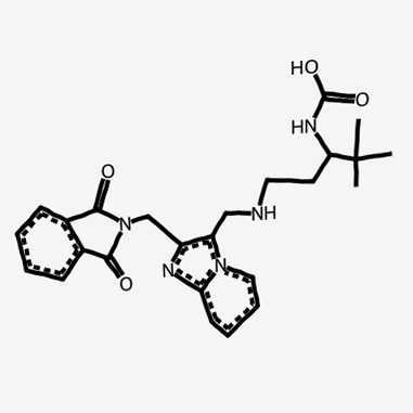 CC(C)(C)C(CCNCc1c(CN2C(=O)c3ccccc3C2=O)nc2ccccn12)NC(=O)O